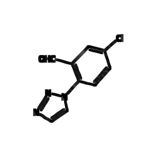 O=Cc1cc(Cl)ccc1-n1ccnn1